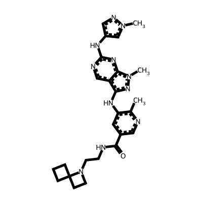 Cc1ncc(C(=O)NCCN2CCC23CCC3)cc1Nc1nn(C)c2nc(Nc3cnn(C)c3)ncc12